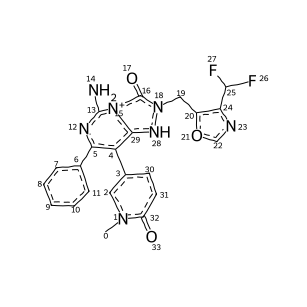 Cn1cc(-c2c(-c3ccccc3)nc(N)[n+]3c(=O)n(Cc4ocnc4C(F)F)[nH]c23)ccc1=O